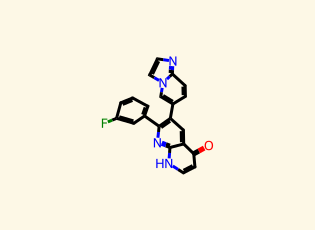 O=c1cc[nH]c2nc(-c3cccc(F)c3)c(-c3ccc4nccn4c3)cc12